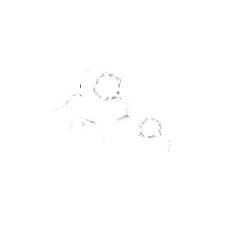 CN1C(N)=N[C@](C)(c2nc(NC(=O)c3ccc(OCC(F)(F)F)cn3)ccc2F)C[S@@]1(=O)=NCC(F)(F)F